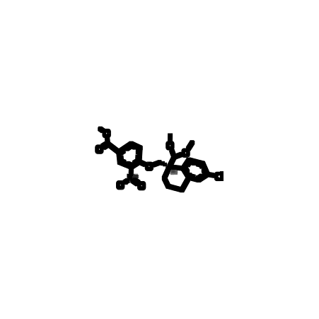 COC(=O)c1ccc(OC[C@@]2(C(OC)OC)CCCc3cc(Cl)ccc32)c([N+](=O)[O-])c1